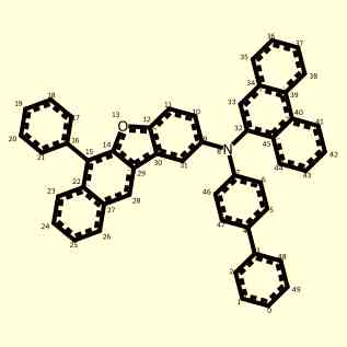 c1ccc(-c2ccc(N(c3ccc4oc5c(-c6ccccc6)c6ccccc6cc5c4c3)c3cc4ccccc4c4ccccc34)cc2)cc1